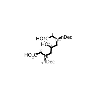 CCCCCCCCCCN(CC(=O)O)CC(O)CN(CCCCCCCCCC)CC(=O)O